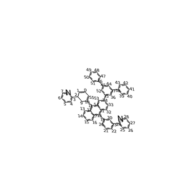 C1=CC(c2ccccn2)CC(c2c3ccccc3c(-c3cccc(-c4ccccn4)c3)c3ccc(-c4cc(-c5ccccc5)cc(-c5ccccc5)c4)cc23)=C1